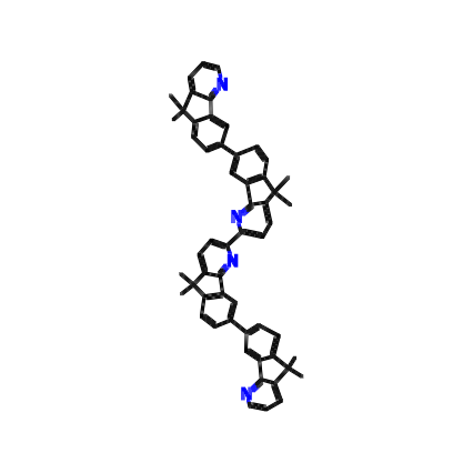 CC1(C)c2ccc(-c3ccc4c(c3)-c3nc(-c5ccc6c(n5)-c5cc(-c7ccc8c(c7)-c7ncccc7C8(C)C)ccc5C6(C)C)ccc3C4(C)C)cc2-c2ncccc21